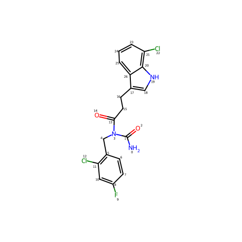 NC(=O)N(Cc1ccc(F)cc1Cl)C(=O)CCc1c[nH]c2c(Cl)cccc12